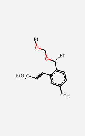 CCOCO[C@H](CC)c1ccc(C)cc1/C=C/C(=O)OCC